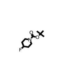 CC(C)(C)OC(=O)N1CCC(F)CC1